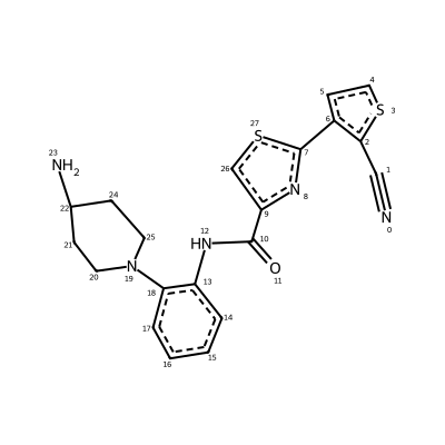 N#Cc1sccc1-c1nc(C(=O)Nc2ccccc2N2CCC(N)CC2)cs1